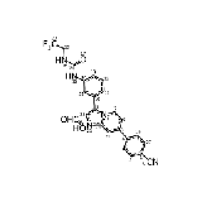 N#Cc1ccc(-c2ccn3c(-c4cccc(NC(=O)NCC(F)(F)F)c4)cnc3c2)cc1.O=CO